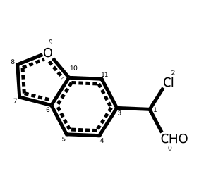 O=C[C](Cl)c1ccc2ccoc2c1